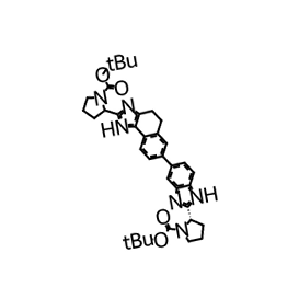 CC(C)(C)OC(=O)N1CCCC1c1nc2c([nH]1)-c1ccc(-c3ccc4[nH]c([C@@H]5CCCN5C(=O)OC(C)(C)C)nc4c3)cc1CC2